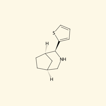 c1csc([C@H]2NC[C@H]3CC[C@@H]2C3)c1